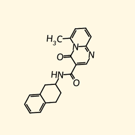 Cc1cccc2ncc(C(=O)NC3CCc4ccccc4C3)c(=O)n12